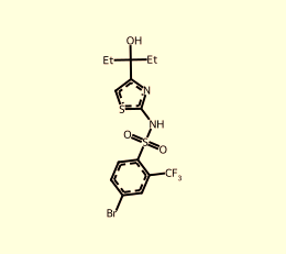 CCC(O)(CC)c1csc(NS(=O)(=O)c2ccc(Br)cc2C(F)(F)F)n1